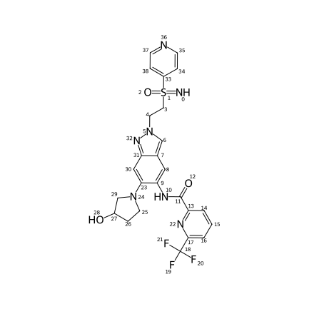 N=S(=O)(CCn1cc2cc(NC(=O)c3cccc(C(F)(F)F)n3)c(N3CCC(O)C3)cc2n1)c1ccncc1